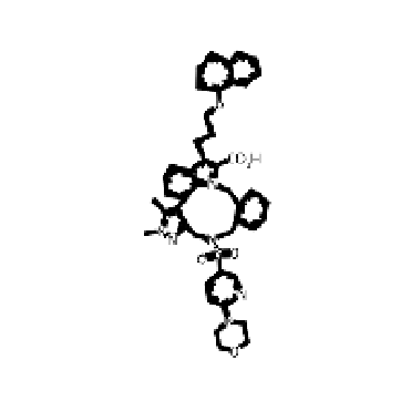 Cc1c2c(nn1C)CN(S(=O)(=O)c1ccc(N3CCOCC3)nc1)Cc1ccccc1Cn1c(C(=O)O)c(CCCOc3cccc4ccccc34)c3cccc-2c31